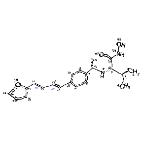 CC(C)[C@H](NC(=O)c1ccc(/C=C/C=C/c2ccco2)cc1)C(=O)NO